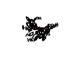 O=C1CN(CCO)C(N(CCCC(CCCN(C(=O)O)C2=C(O)C(=O)C(=O)CN2CCO)(CCCN(C(=O)O)C2=C(O)C(=O)C(=O)CN2CCO)N(C(=O)O)c2ccc(N=C=S)cc2)C(=O)O)=C(O)C1=O